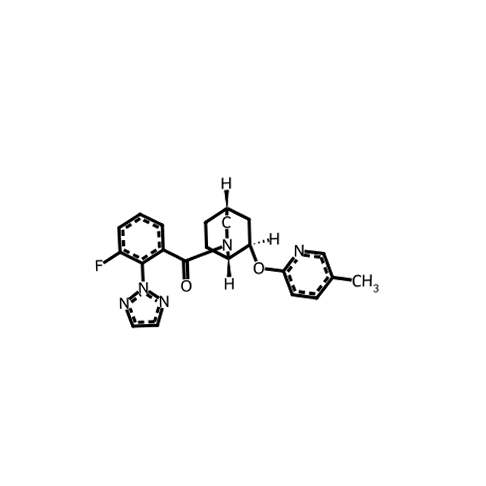 Cc1ccc(O[C@@H]2C[C@H]3CC[C@@H]2N(C(=O)c2cccc(F)c2-n2nccn2)C3)nc1